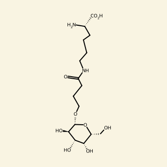 N[C@@H](CCCCNC(=O)CCCO[C@@H]1O[C@H](CO)[C@H](O)[C@H](O)[C@H]1O)C(=O)O